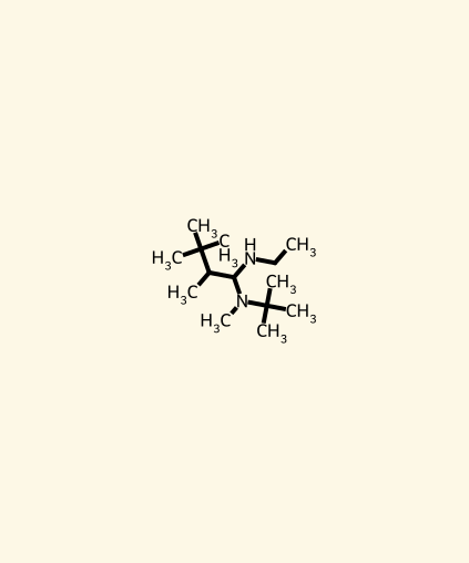 CCNC(C(C)C(C)(C)C)N(C)C(C)(C)C